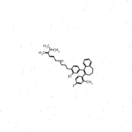 C=C(/C=C/CNCCCc1ccc(C2=C(c3ccc(F)cc3C)CCCc3ccccc32)cc1CC)N(C)C